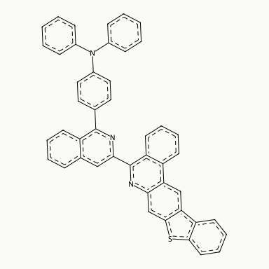 c1ccc(N(c2ccccc2)c2ccc(-c3nc(-c4nc5cc6sc7ccccc7c6cc5c5ccccc45)cc4ccccc34)cc2)cc1